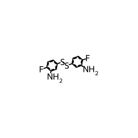 Nc1cc(SSc2ccc(F)c(N)c2)ccc1F